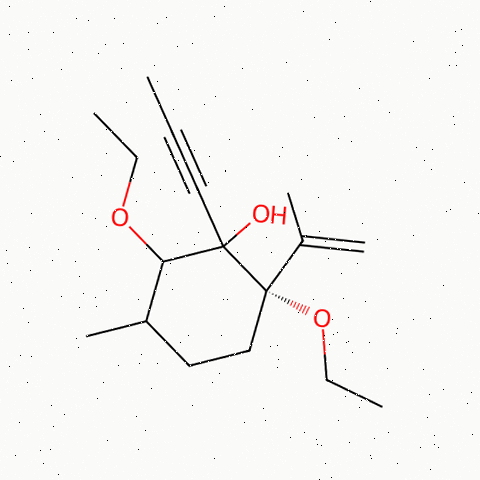 C=C(C)[C@@]1(OCC)CCC(C)C(OCC)C1(O)C#CC